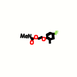 CNC(=O)OCCOc1ccc(F)cc1C